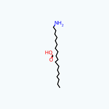 CCCCCCCCCCCCCCCCCCN.O=CO